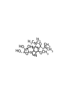 CC(C(=O)n1c(N(C)C)nc2c(ncn2[C@@H]2O[C@H](CO)[C@@H](O)[C@H]2O)c1=O)N(C)C